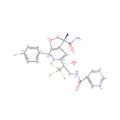 C[C@]1(C(N)=O)COc2c1cc([C@@](O)(CNC(=O)c1cncnc1)C(F)(F)F)nc2-c1ccc(F)cc1